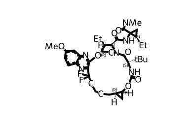 CC[C@@H]1[C@@H]2CN(C(=O)[C@H](C(C)(C)C)NC(=O)O[C@@H]3C[C@H]3CCCCC(F)(F)c3nc4ccc(OC)cc4nc3O2)[C@@H]1C(=O)NC1(C(=O)NC)C[C@H]1CC